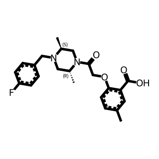 Cc1ccc(OCC(=O)N2C[C@H](C)N(Cc3ccc(F)cc3)C[C@H]2C)c(C(=O)O)c1